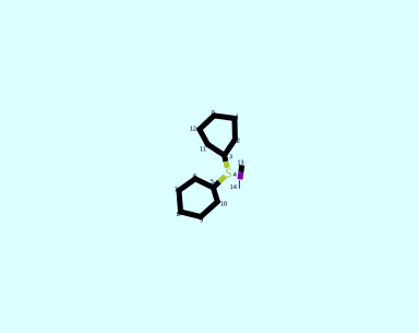 C1CCC(SC2CCCCC2)CC1.CI